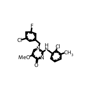 COc1cn(Cc2cc(F)cc(Cl)c2)c(Nc2cccc(C)c2Cl)nc1=O